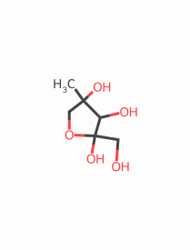 CC1(O)COC(O)(CO)C1O